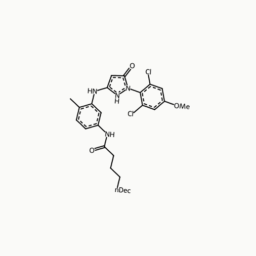 CCCCCCCCCCCCCC(=O)Nc1ccc(C)c(Nc2cc(=O)n(-c3c(Cl)cc(OC)cc3Cl)[nH]2)c1